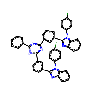 Fc1ccc(-n2c(-c3cccc(-c4nc(-c5ccccc5)nc(-c5cccc(-c6nc7ccccc7n6-c6ccc(F)cc6)c5)n4)c3)nc3ccccc32)cc1